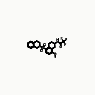 COc1ccc(S(=O)(=O)N2CCc3ccccc3C2)c2c1CC(NC(=O)C(F)(F)F)CC2